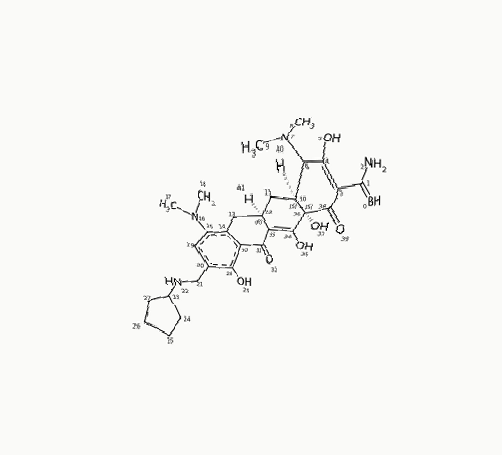 B=C(N)C1=C(O)C(N(C)C)[C@@H]2C[C@@H]3Cc4c(N(C)C)cc(CNC5CCCC5)c(O)c4C(=O)C3=C(O)[C@]2(O)C1=O